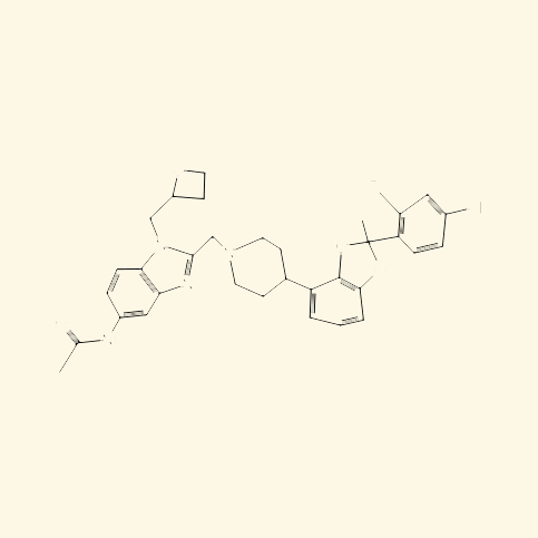 CC(=O)Nc1ccc2c(c1)nc(CN1CCC(c3cccc4c3OC(C)(c3ccc(Cl)cc3F)O4)CC1)n2CC1CCO1